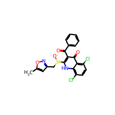 Cc1cc(C[S+]([O-])c2[nH]c3c(Cl)ccc(Cl)c3c(=O)c2C(=O)c2ccccc2)no1